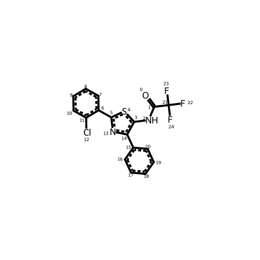 O=C(Nc1sc(-c2ccccc2Cl)nc1-c1ccccc1)C(F)(F)F